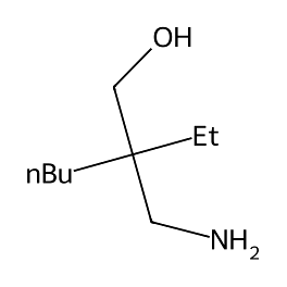 CCCCC(CC)(CN)CO